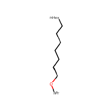 CCCCCCCCCCCCCOCCC